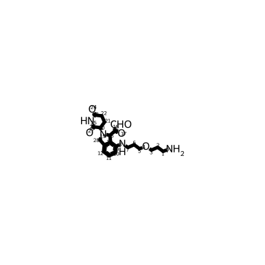 NCCCOCCCNc1cccc2c1C(C(=O)C=O)N(C1CCC(=O)NC1=O)C2